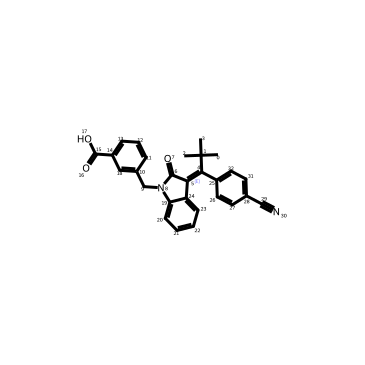 CC(C)(C)/C(=C1\C(=O)N(Cc2cccc(C(=O)O)c2)c2ccccc21)c1ccc(C#N)cc1